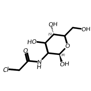 O=C(CCl)NC1C(O)[C@H](O)C(CO)O[C@H]1O